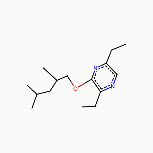 CCc1cnc(CC)c(OCC(C)CC(C)C)n1